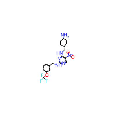 N[C@H]1CC[C@H](CNc2nc(NCc3cccc(OC(F)(F)F)c3)ncc2[N+](=O)[O-])CC1